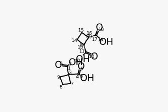 O=C(O)C1(C(=O)O)CCC1.O=C(O)[C@H]1CC[C@H]1C(=O)O